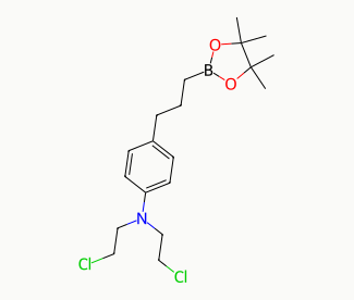 CC1(C)OB(CCCc2ccc(N(CCCl)CCCl)cc2)OC1(C)C